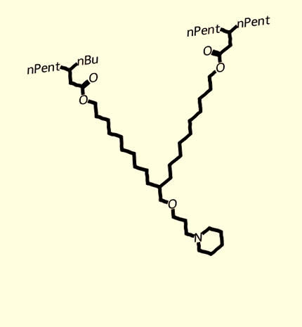 CCCCCC(CCCC)CC(=O)OCCCCCCCCCCC(CCCCCCCCCCOC(=O)CC(CCCCC)CCCCC)COCCCN1CCCCC1